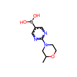 CC1CN(c2ncc(B(O)O)cn2)CCO1